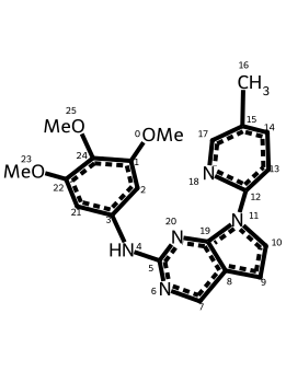 COc1cc(Nc2ncc3ccn(-c4ccc(C)cn4)c3n2)cc(OC)c1OC